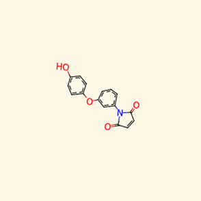 O=C1C=CC(=O)N1c1cccc(Oc2ccc(O)cc2)c1